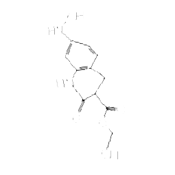 CCOC(=O)C1Cc2ccc(NC)cc2NC1=O